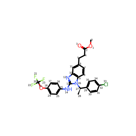 COC(=O)CCc1ccc2c(c1)nc(Nc1ccc(OC(F)(F)F)cc1)n2[C@H](C)c1ccc(Cl)cc1